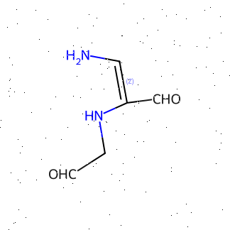 N/C=C(/C=O)NCC=O